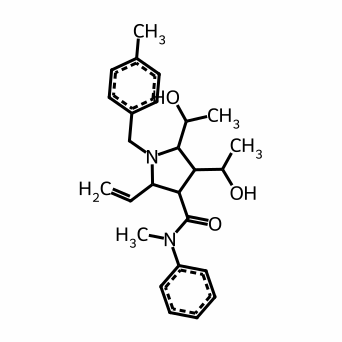 C=CC1C(C(=O)N(C)c2ccccc2)C(C(C)O)C(C(C)O)N1Cc1ccc(C)cc1